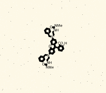 CNC(=O)NCCN(Cc1ccccc1)c1ccc2c(-c3ccccc3C(=O)O)c3cc/c(=[N+](\CCNC(=O)NC)Cc4ccccc4)cc-3oc2c1